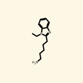 CCn1c(CCCCCN)nc2ccccc21